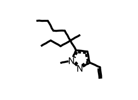 C=Cc1cc(C(C)(CCC)CCCC)n(C)n1